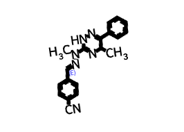 CC1N=C(N(C)/N=C/c2ccc(C#N)cc2)NN=C1c1ccccc1